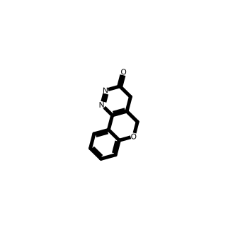 O=C1CC2=C(N=N1)c1ccccc1OC2